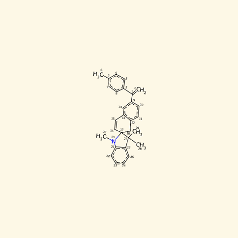 C=C(c1ccc(C)cc1)c1ccc2c(c1)C=CC1(C2)N(C)c2ccccc2C1(C)C